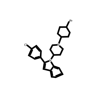 CC(C)C1CCC(N2CCC(n3c(-c4ccc(Cl)cc4)cc4ccccc43)CC2)CC1